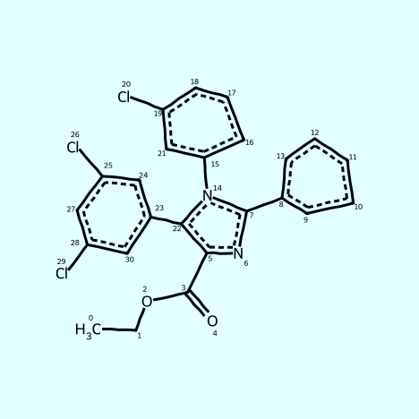 CCOC(=O)c1nc(-c2ccccc2)n(-c2cccc(Cl)c2)c1-c1cc(Cl)cc(Cl)c1